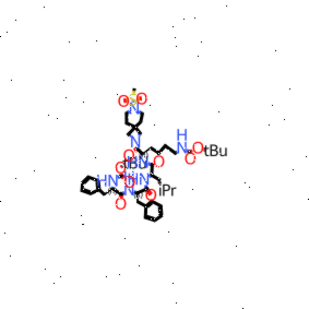 CC(C)CC(NC(=O)[C@@H](Cc1ccccc1)NC(=O)[C@@H](Cc1ccccc1)NC(=O)OC(C)(C)C)C(=O)N[C@H](CCCCNC(=O)OC(C)(C)C)C(=O)N1CC2(CCN(S(C)(=O)=O)CC2)C1